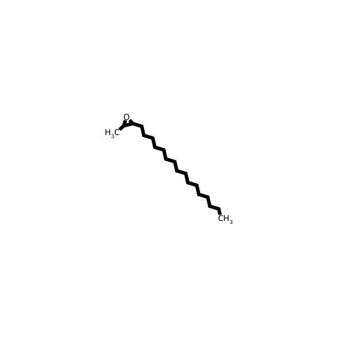 CCCCCCCCCCCCCCCCC1OC1C